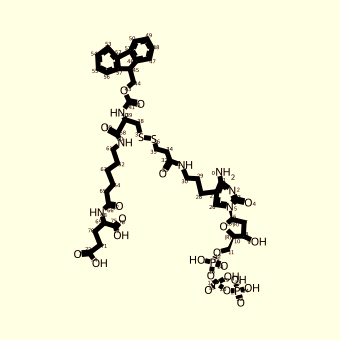 Nc1nc(=O)n([C@H]2CC(O)[C@@H](COP(=O)(O)OP(=O)(O)OP(=O)(O)O)O2)cc1CCCNC(=O)CCSSCC(NC(=O)OCC1c2ccccc2-c2ccccc21)C(=O)NCCCCCC(=O)NC(CCC(=O)O)C(=O)O